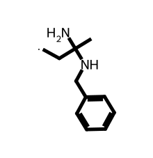 [CH2]CC(C)(N)NCc1ccccc1